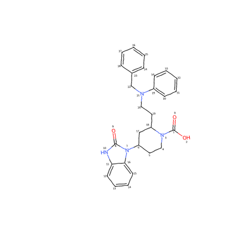 O=C(O)N1CCC(n2c(=O)[nH]c3ccccc32)CC1CCN(Cc1ccccc1)c1ccccc1